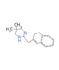 CC1(C)CN=C(CC2=Cc3ccccc3CC2)NC1